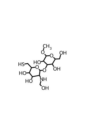 COC1OC(CO)C(O)C(OC2OC(CS)C(O)C(O)C2NCO)C1O